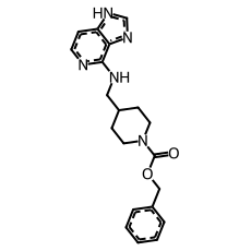 O=C(OCc1ccccc1)N1CCC(CNc2nccc3[nH]cnc23)CC1